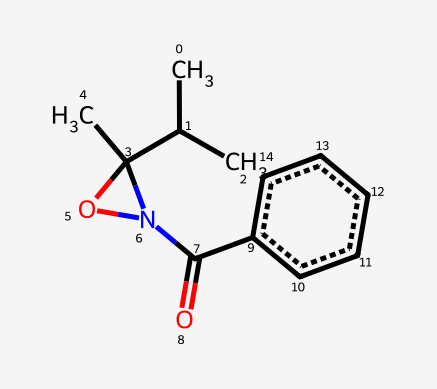 CC(C)C1(C)ON1C(=O)c1ccccc1